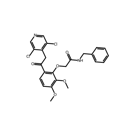 COc1ccc(C(=O)Cc2c(Cl)cncc2Cl)c(OCC(=O)NCc2ccccc2)c1OC